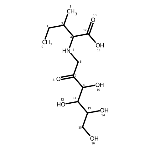 CCC(C)C(NCC(=O)C(O)C(O)C(O)CO)C(=O)O